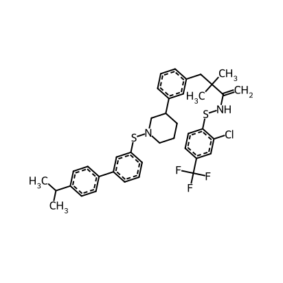 C=C(NSc1ccc(C(F)(F)F)cc1Cl)C(C)(C)Cc1cccc(C2CCCN(Sc3cccc(-c4ccc(C(C)C)cc4)c3)C2)c1